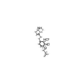 Cl.N[C@H]1CCN(CCc2ccc(OCC3CC3)c(Cl)c2)C1